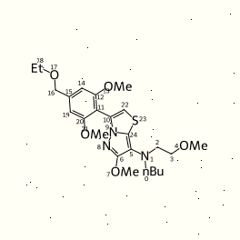 CCCCN(CCOC)c1c(OC)nn2c(-c3c(OC)cc(COCC)cc3OC)csc12